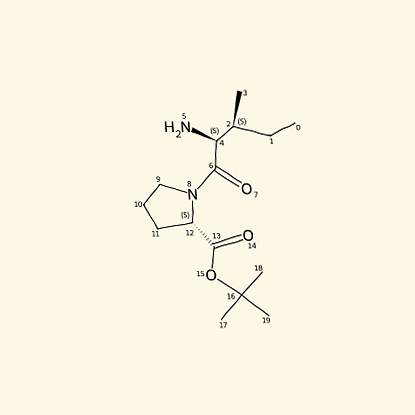 CC[C@H](C)[C@H](N)C(=O)N1CCC[C@H]1C(=O)OC(C)(C)C